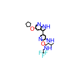 CC(C)C(Nc1cncc(-c2c[nH]c3ncc(OC4CCCC4)cc23)c1)C(=O)NCC(F)(F)F